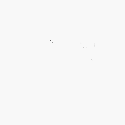 CC(C)(O)CCc1ccc(-c2cc3c(cn2)CCc2c-3nn(CC3(N)CC3)c2C(=O)O)cc1